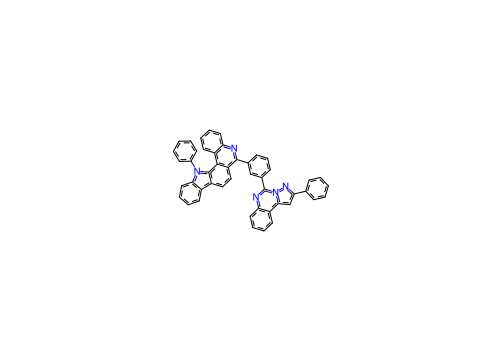 c1ccc(-c2cc3c4ccccc4nc(-c4cccc(-c5nc6ccccc6c6c5ccc5c7ccccc7n(-c7ccccc7)c56)c4)n3n2)cc1